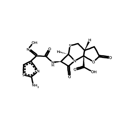 Nc1nc(/C(=N/O)C(=O)N[C@@H]2C(=O)N3[C@@H]2SC[C@@H]2CC(=O)O[C@@]23C(=O)O)cs1